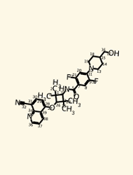 CC1(C)C(NC(=O)c2cc(F)c(N3CCC(CO)CC3)cc2F)C(C)(C)C1Oc1ccc(C#N)c2ncccc12